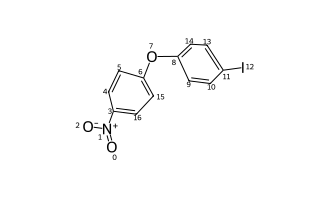 O=[N+]([O-])c1ccc(Oc2ccc(I)cc2)cc1